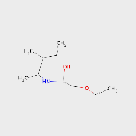 CCOCC(O)NC(C)C(C)CC